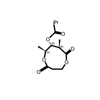 CC(C)C(=O)O[C@H]1[C@H](C)OC(=O)CCOC(=O)[C@@H]1C